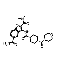 CN(C)C(=O)c1oc2ccc(C(N)=O)cc2c1NC(=O)[C@H]1CC[C@H](C(=O)N2CCOCC2)CC1